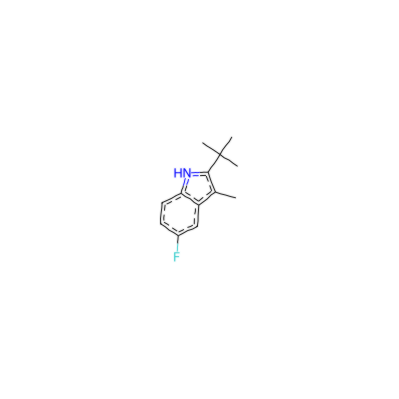 Cc1c(C(C)(C)C)[nH]c2ccc(F)cc12